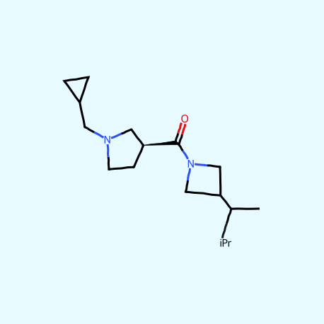 CC(C)C(C)C1CN(C(=O)[C@H]2CCN(CC3CC3)C2)C1